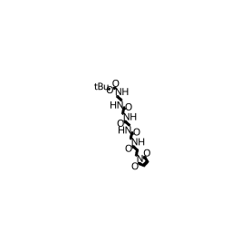 CC(C)(C)OC(=O)NCCNC(=O)CNC(=O)CNC(=O)CNC(=O)CCN1C(=O)C=CC1=O